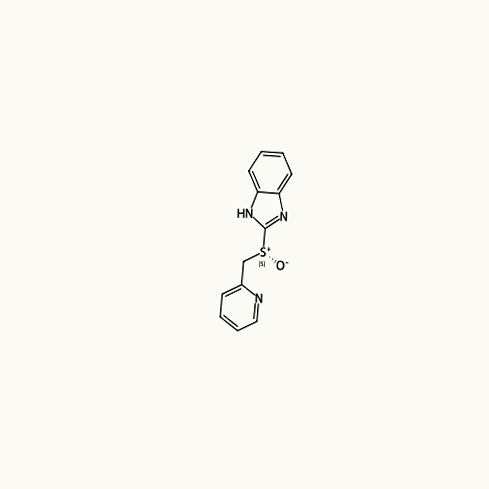 [O-][S@+](Cc1ccccn1)c1nc2ccccc2[nH]1